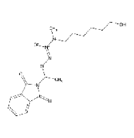 CC(ON=[N+]([O-])N(C)CCCCCCO)N1C(=O)c2ccccc2C1=O